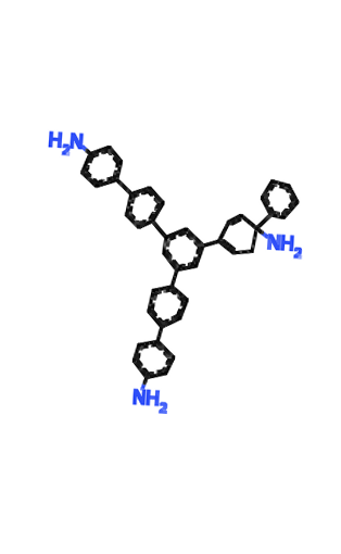 Nc1ccc(-c2ccc(-c3cc(C4=CCC(N)(c5ccccc5)C=C4)cc(-c4ccc(-c5ccc(N)cc5)cc4)c3)cc2)cc1